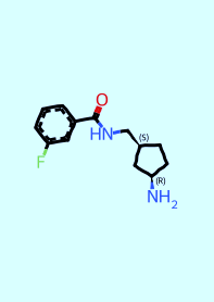 N[C@@H]1CC[C@H](CNC(=O)c2cccc(F)c2)C1